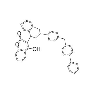 O=c1oc2ccccc2c(O)c1C1CC(c2ccc(Cc3ccc(-c4ccccc4)cc3)cc2)Cc2ccccc21